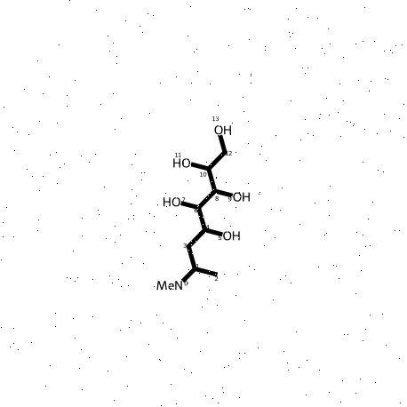 CNC(C)CC(O)C(O)C(O)C(O)CO